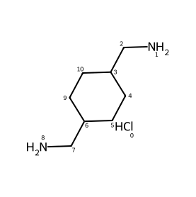 Cl.NCC1CCC(CN)CC1